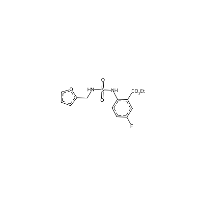 CCOC(=O)c1cc(F)ccc1NS(=O)(=O)NCc1ccco1